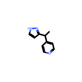 CC(c1ccncc1)c1cc[nH]n1